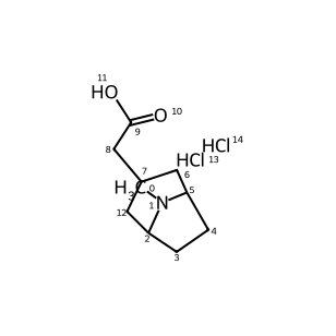 CN1C2CCC1CC(CC(=O)O)C2.Cl.Cl